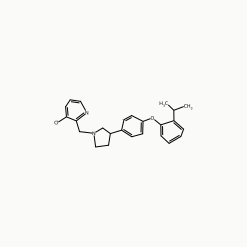 CC(C)c1ccccc1Oc1c[c]c(C2CCN(Cc3ncccc3Cl)C2)cc1